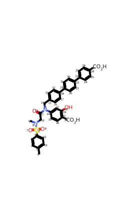 Cc1ccc(S(=O)(=O)N(C)CC(=O)N(Cc2ccc(-c3ccc(-c4ccc(C(=O)O)cc4)cc3)cc2)c2ccc(C(=O)O)c(O)c2)cc1